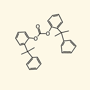 CC(C)(c1ccccc1)c1ccccc1OC(=O)Oc1ccccc1C(C)(C)c1ccccc1